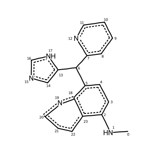 CNc1ccc(C(c2ccccn2)c2cnc[nH]2)c2ncccc12